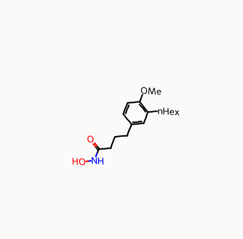 CCCCCCc1cc(CCCC(=O)NO)ccc1OC